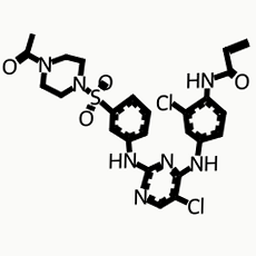 C=CC(=O)Nc1ccc(Nc2nc(Nc3cccc(S(=O)(=O)N4CCN(C(C)=O)CC4)c3)ncc2Cl)cc1Cl